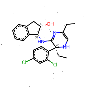 CCC1=CN[C@@](CC)(c2ccc(Cl)cc2Cl)C(N[C@@H]2c3ccccc3C[C@@H]2O)=N1